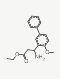 CCOC(=O)CC(N)c1cc(-c2ccccc2)ccc1OC